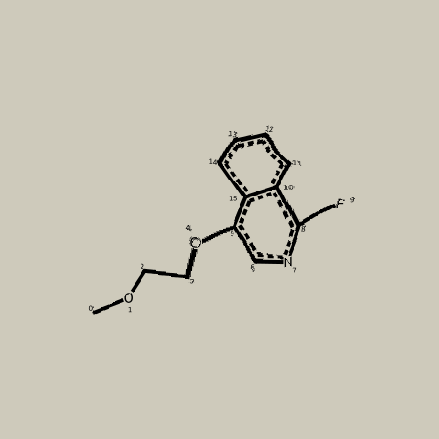 COCCOc1cnc(F)c2ccccc12